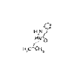 CC(C)CCNC(=O)[C@H](N)Cc1ccccc1